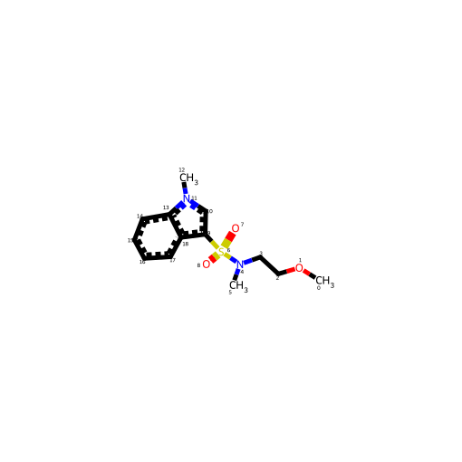 COCCN(C)S(=O)(=O)c1cn(C)c2ccccc12